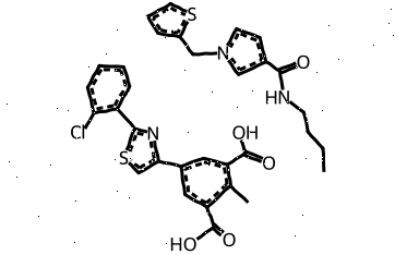 CCCCNC(=O)c1ccn(Cc2cccs2)c1.Cc1c(C(=O)O)cc(-c2csc(-c3ccccc3Cl)n2)cc1C(=O)O